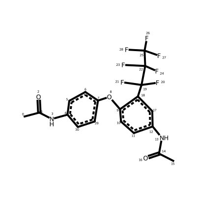 CC(=O)Nc1ccc(Oc2ccc(NC(C)=O)cc2C(F)(F)C(F)(F)C(F)(F)F)cc1